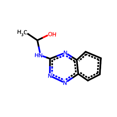 CC(O)Nc1nnc2ccccc2n1